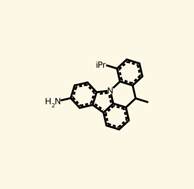 CC(C)c1cccc2c1-n1c3ccc(N)cc3c3cccc(c31)C2C